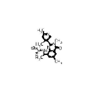 Cc1cc(C(C)N[S@+]([O-])C(C)(C)C)c2nc(-c3cnc(C)cc3C)n(C)c(=O)c2c1